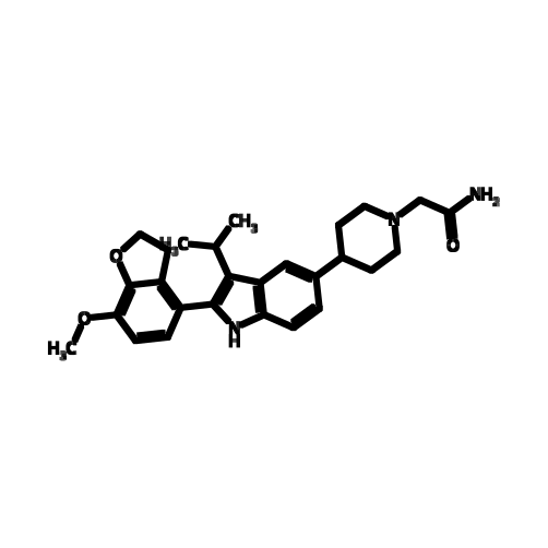 COc1ccc(-c2[nH]c3ccc(C4CCN(CC(N)=O)CC4)cc3c2C(C)C)c2c1OCC2